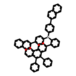 c1ccc(-c2c(-c3ccccc3)c3cc(-c4ccccc4N(c4ccc(-c5ccc6ccccc6c5)cc4)c4ccc(-c5ccc6ccccc6c5)cc4)ccc3c3ccccc23)cc1